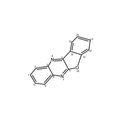 c1ccc2nc3c(nc2c1)oc1ccccc13